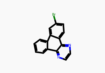 Brc1ccc2c(c1)c1ccccc1c1nccnc21